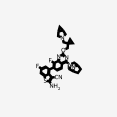 N#Cc1c(N)sc2cc(F)cc(-c3ccc4c(N5CC6CCC(C5)N6)nc(OCC5(CN6CC7CC7C6)CC5)nc4c3F)c12